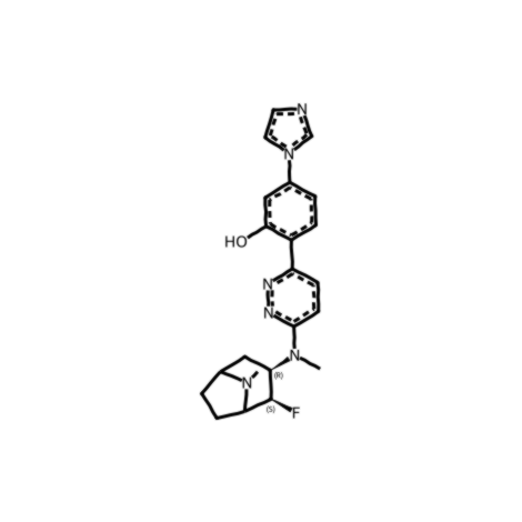 CN1C2CCC1[C@H](F)[C@H](N(C)c1ccc(-c3ccc(-n4ccnc4)cc3O)nn1)C2